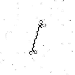 COC(=O)CCCCCCCCCCCC(C)(C)C(OC)OC